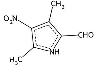 Cc1[nH]c(C=O)c(C)c1[N+](=O)[O-]